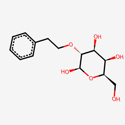 OC[C@H]1O[C@@H](O)[C@H](OCCc2ccccc2)[C@@H](O)[C@H]1O